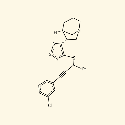 CC(C)C(C#Cc1cccc(Cl)c1)Sc1nsnc1[C@H]1CN2CCC[C@H]1C2